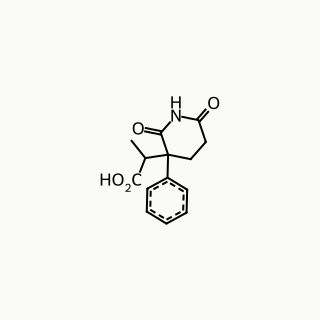 CC(C(=O)O)C1(c2ccccc2)CCC(=O)NC1=O